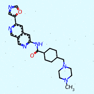 CN1CCN(CC2CCC(C(=O)Nc3cc4cc(-c5cnco5)ncc4cn3)CC2)CC1